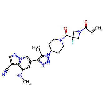 C=CC(=O)N1CC(F)(C(=O)N2CCC(n3nnc(-c4cc(NC)c5c(C#N)cnn5c4)c3C)CC2)C1